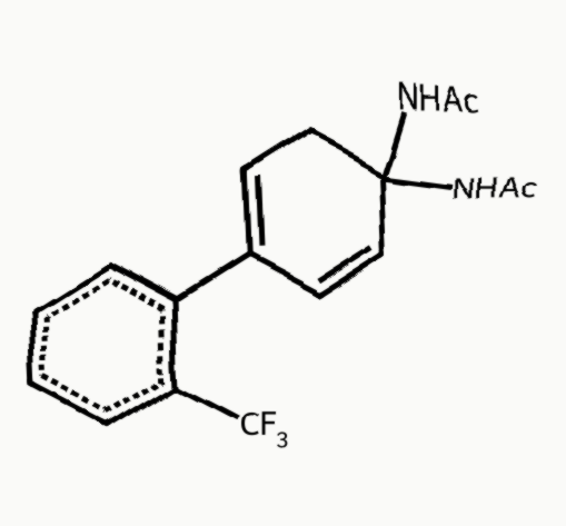 CC(=O)NC1(NC(C)=O)C=CC(c2ccccc2C(F)(F)F)=CC1